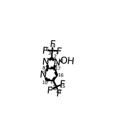 On1c(C(F)(F)F)nc2ncc(C(F)(F)F)cc21